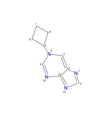 c1nc2cn(C3CCC3)cnc-2n1